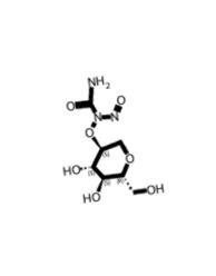 NC(=O)N(N=O)O[C@H]1CO[C@H](CO)[C@@H](O)[C@@H]1O